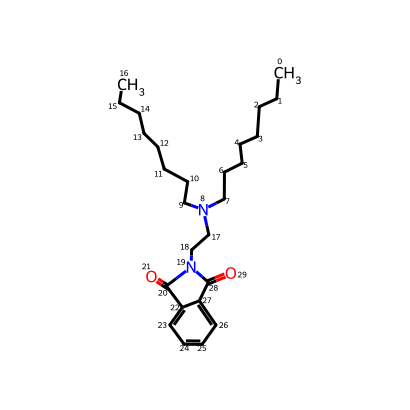 CCCCCCCCN(CCCCCCCC)CCN1C(=O)c2ccccc2C1=O